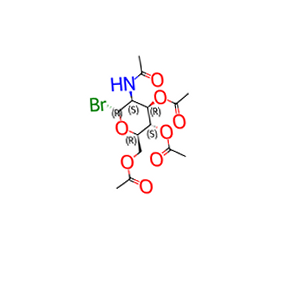 CC(=O)N[C@H]1[C@@H](OC(C)=O)[C@H](OC(C)=O)[C@@H](COC(C)=O)O[C@@H]1Br